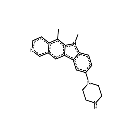 Cc1c2ccncc2cc2c3cc(N4CCNCC4)ccc3n(C)c12